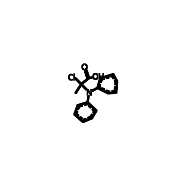 CC(Cl)(C(=O)O)N(c1ccccc1)c1ccccc1